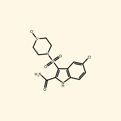 NC(=O)c1[nH]c2ccc(Cl)cc2c1S(=O)(=O)N1CC[S+]([O-])CC1